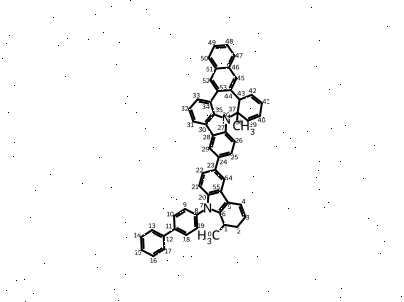 CC1CC=Cc2c1n(-c1ccc(-c3ccccc3)cc1)c1ccc(-c3ccc4c(c3)c3cccc5c3n4C3(C)C=CC=CC3c3cc4ccccc4cc3-5)cc21